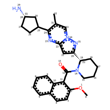 COc1ccc2ccccc2c1C(=O)N1CCCC[C@H]1c1cc2nc(C3CC[C@H](N)C3)c(C)cn2n1